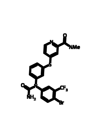 CNC(=O)c1cc(Sc2cccc(N(C(N)=O)c3ccc(Br)c(C(F)(F)F)c3)c2)ccn1